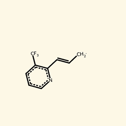 [CH2]C=Cc1ncccc1C(F)(F)F